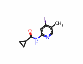 Cc1cnc(NC(=O)C2CC2)cc1I